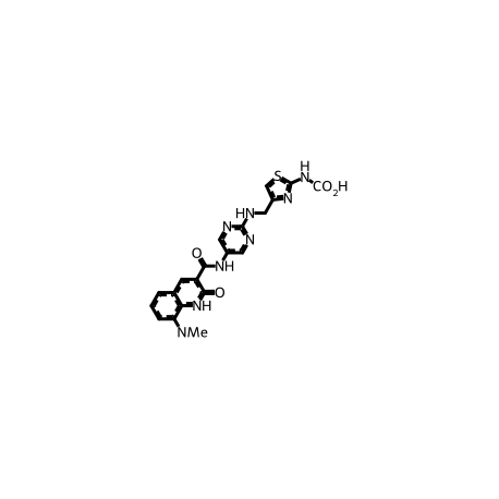 CNc1cccc2cc(C(=O)Nc3cnc(NCc4csc(NC(=O)O)n4)nc3)c(=O)[nH]c12